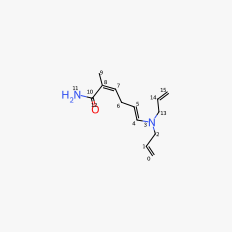 C=CCN(C=CCC=C(C)C(N)=O)CC=C